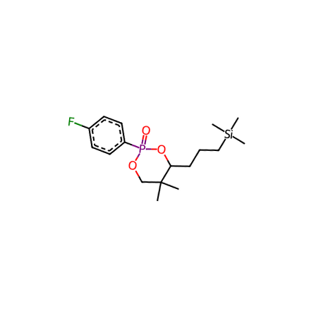 CC1(C)COP(=O)(c2ccc(F)cc2)OC1CCC[Si](C)(C)C